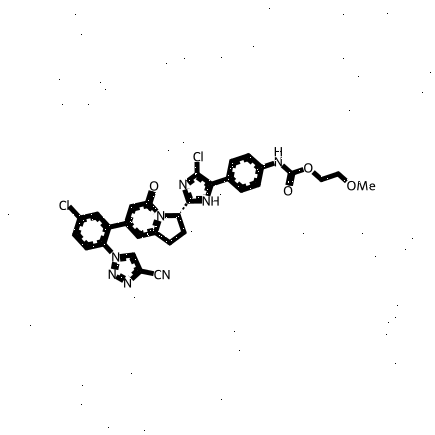 COCCOC(=O)Nc1ccc(-c2[nH]c([C@@H]3CCc4cc(-c5cc(Cl)ccc5-n5cc(C#N)nn5)cc(=O)n43)nc2Cl)cc1